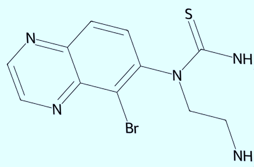 NCCN(C(N)=S)c1ccc2nccnc2c1Br